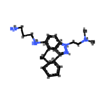 CCN(CC)CCn1nc2c3c(c(NCCCN)ccc31)[Se]c1ccccc1-2